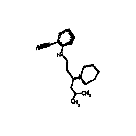 CC(C)CC(CCNc1ccccc1C#N)N1CCCCC1